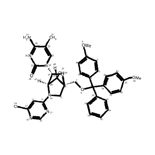 COc1ccc(C(OC[C@@]23CN(c4cc(Cl)ncn4)[C@@H]([C@H](n4cc(C)c(N)nc4=O)O2)[C@@H]3O)(c2ccccc2)c2ccc(OC)cc2)cc1